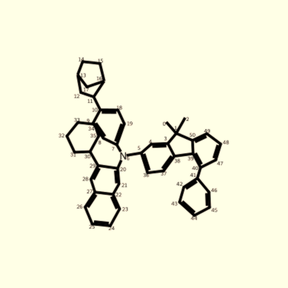 CC1(C)c2cc(N(c3ccc(C4CC5CCC4C5)cc3)c3cc4ccccc4cc3C3CCCCC3)ccc2-c2c(-c3ccccc3)cccc21